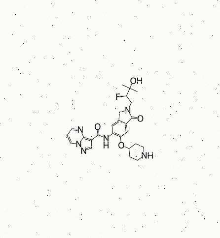 CC(C)(O)[C@H](F)CN1Cc2cc(NC(=O)c3cnn4cccnc34)c(OC3CCNCC3)cc2C1=O